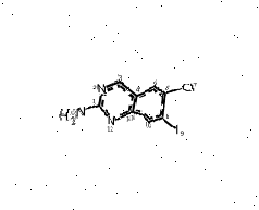 Nc1ncc2cc(Cl)c(I)cc2n1